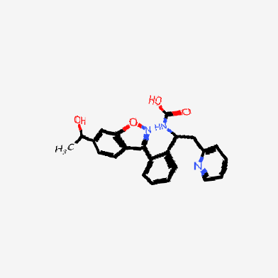 CC(O)c1ccc2c(-c3ccccc3C(Cc3ccccn3)NC(=O)O)noc2c1